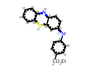 CCOC(=O)c1ccc(/N=c2/ccc3nc4ccccc4sc-3c2)cc1